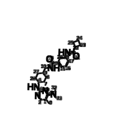 Cc1cnc(NC2CCC(CNC(=O)c3cccc(NC(=O)C4CCC4)c3)CC2)nc1N(C)C